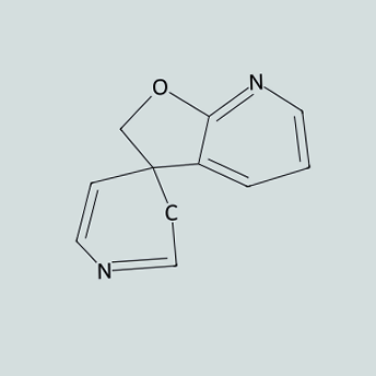 C1=CC2(CC=N1)COc1ncccc12